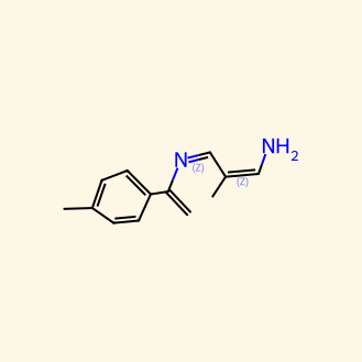 C=C(/N=C\C(C)=C/N)c1ccc(C)cc1